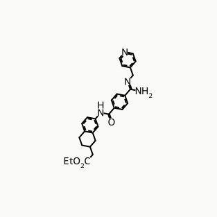 CCOC(=O)CC1CCc2ccc(NC(=O)c3ccc(C(N)=NCc4ccncc4)cc3)cc2C1